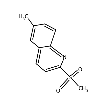 Cc1ccc2nc(S(C)(=O)=O)ccc2c1